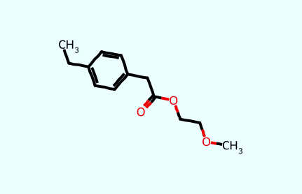 CCc1ccc(CC(=O)OCCOC)cc1